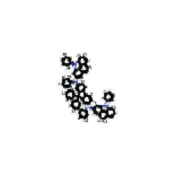 c1ccc(N(c2ccc3c(c2)C(c2ccccc2)(c2ccccc2)c2cc(N(c4ccccc4)c4cc5ccc6cccc7c6c5c(c4)n7-c4ccccc4)ccc2-3)c2cc3ccc4cccc5c4c3c(c2)n5-c2ccccc2)cc1